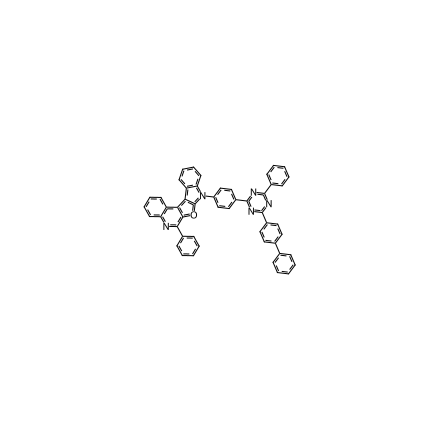 c1ccc(-c2ccc(-c3nc(-c4ccccc4)nc(-c4ccc(-n5c6ccccc6c6c7c(oc65)c(-c5ccccc5)nc5ccccc57)cc4)n3)cc2)cc1